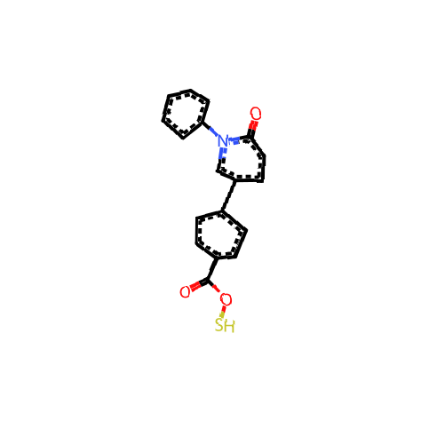 O=C(OS)c1ccc(-c2ccc(=O)n(-c3ccccc3)c2)cc1